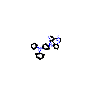 c1ccc(N(c2ccccc2)c2ccc(-n3c4cccc5c4c4c(ccnc43)c3nccn53)cc2)cc1